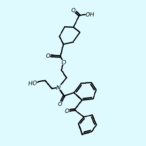 O=C(c1ccccc1)c1ccccc1C(=O)N(CCO)CCOC(=O)C1CCC(C(=O)O)CC1